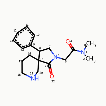 CN(C)C(=O)CN1CC(c2ccccc2)C2(CCCNC2)C1=O